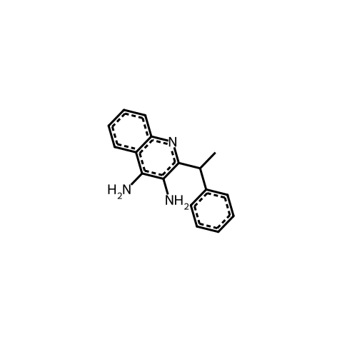 CC(c1ccccc1)c1nc2ccccc2c(N)c1N